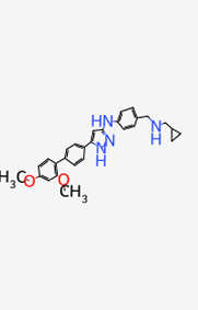 COc1ccc(-c2ccc(-c3cc(Nc4ccc(CNCC5CC5)cc4)n[nH]3)cc2)c(OC)c1